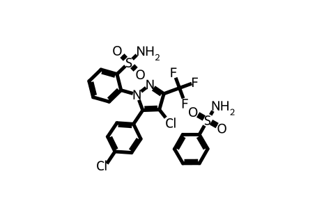 NS(=O)(=O)c1ccccc1.NS(=O)(=O)c1ccccc1-n1nc(C(F)(F)F)c(Cl)c1-c1ccc(Cl)cc1